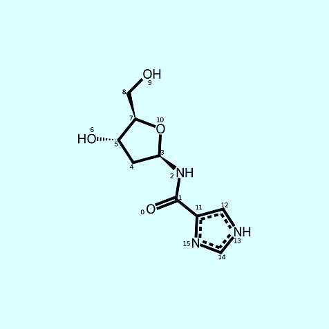 O=C(N[C@H]1C[C@H](O)[C@@H](CO)O1)c1c[nH]cn1